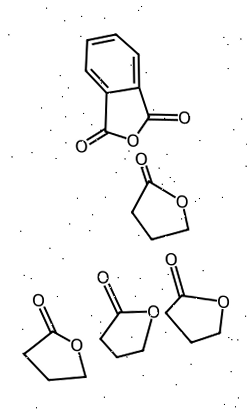 O=C1CCCO1.O=C1CCCO1.O=C1CCCO1.O=C1CCCO1.O=C1OC(=O)c2ccccc21